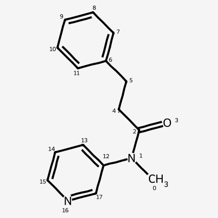 CN(C(=O)[CH]Cc1ccccc1)c1cccnc1